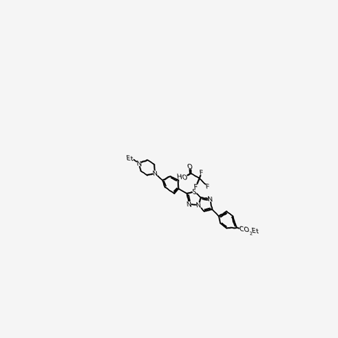 CCOC(=O)c1ccc(-c2cn3nc(-c4ccc(N5CCN(CC)CC5)cc4)sc3n2)cc1.O=C(O)C(F)(F)F